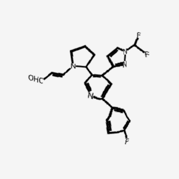 O=CC=CN1CCCC1c1cnc(-c2ccc(F)cc2)cc1-c1ccn(C(F)F)n1